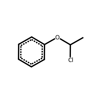 CC(Cl)Oc1ccccc1